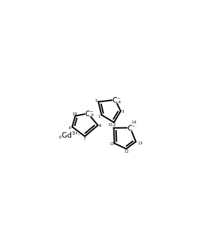 [Gd+3].c1cc[cH-]c1.c1cc[cH-]c1.c1cc[cH-]c1